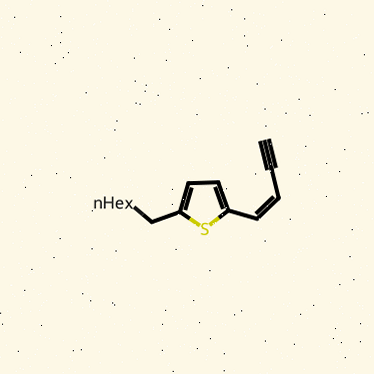 C#C/C=C\c1ccc(CCCCCCC)s1